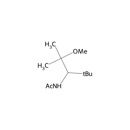 COC(C)(C)C(NC(C)=O)C(C)(C)C